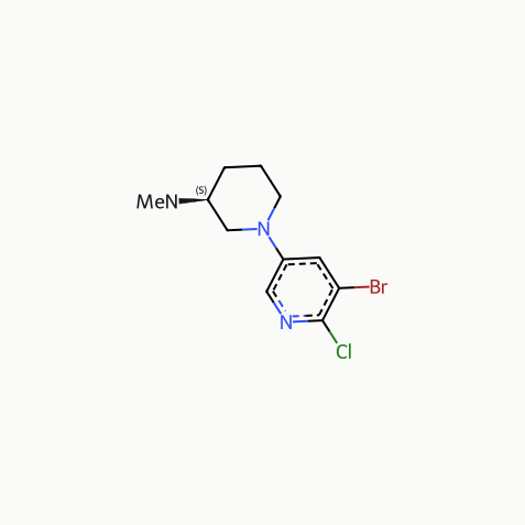 CN[C@H]1CCCN(c2cnc(Cl)c(Br)c2)C1